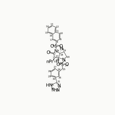 CCC[C@H]1C(=O)N(S(=O)(=O)c2ccc3ccccc3c2)[C@H]2CCN(S(=O)(=O)Cc3cccc(-c4nnn[nH]4)c3)[C@H]12